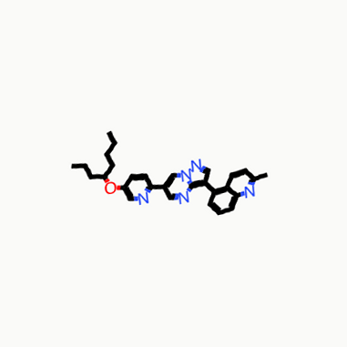 CCCCC(CCC)Oc1ccc(-c2cnc3c(-c4cccc5nc(C)ccc45)cnn3c2)nc1